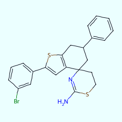 NC1=NC2(CCS1)CC(c1ccccc1)Cc1sc(-c3cccc(Br)c3)cc12